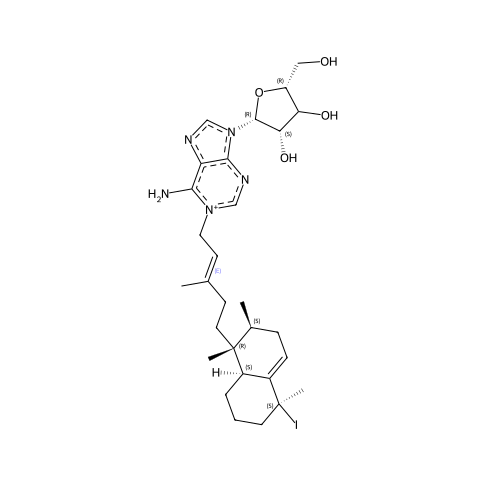 C/C(=C\C[n+]1cnc2c(ncn2[C@@H]2O[C@H](CO)C(O)[C@@H]2O)c1N)CC[C@@]1(C)[C@@H]2CCC[C@](C)(I)C2=CC[C@@H]1C